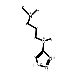 CN(C)CCCN(C)c1c[nH]nn1